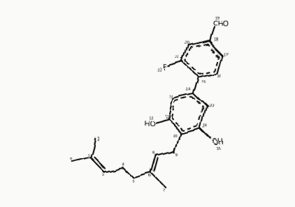 CC(C)=CCC/C(C)=C/Cc1c(O)cc(-c2ccc(C=O)cc2F)cc1O